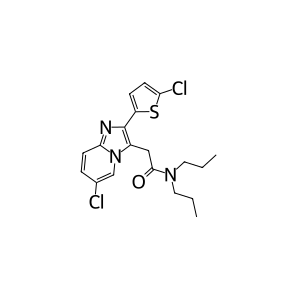 CCCN(CCC)C(=O)Cc1c(-c2ccc(Cl)s2)nc2ccc(Cl)cn12